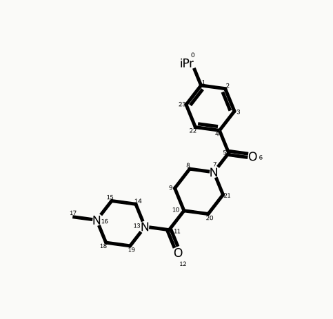 CC(C)c1ccc(C(=O)N2CCC(C(=O)N3CCN(C)CC3)CC2)cc1